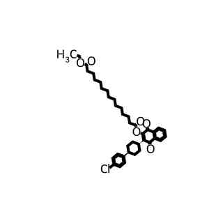 CCOC(=O)CCCCCCCCCCCCCC(=O)OC1=C([C@H]2CC[C@H](c3ccc(Cl)cc3)CC2)C(=O)c2ccccc2C1=O